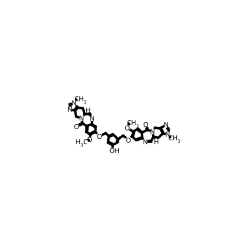 COc1cc2c(cc1OCc1cc(O)cc(COc3cc4c(cc3OC)C(=O)N3Cc5ncn(C)c5C[C@H]3C=N4)c1)N=C[C@@H]1Cc3c(ncn3C)CN1C2=O